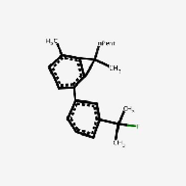 CCCCCC1(C)c2c(C)ccc(-c3cccc(C(C)(C)F)c3)c21